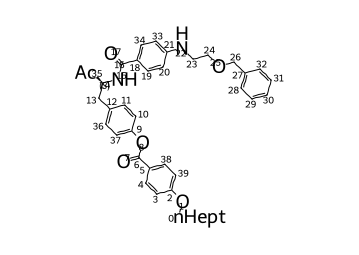 CCCCCCCOc1ccc(C(=O)Oc2ccc(C[C@H](NC(=O)c3ccc(NCCOCc4ccccc4)cc3)C(C)=O)cc2)cc1